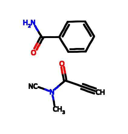 C#CC(=O)N(C)C#N.NC(=O)c1ccccc1